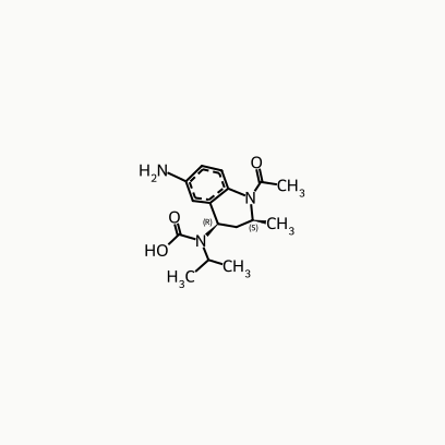 CC(=O)N1c2ccc(N)cc2[C@H](N(C(=O)O)C(C)C)C[C@@H]1C